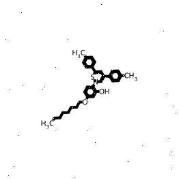 CCCCCCCCOc1ccc(N2C=C(c3ccc(C)cc3)C=C(c3ccc(C)cc3)S2)c(O)c1